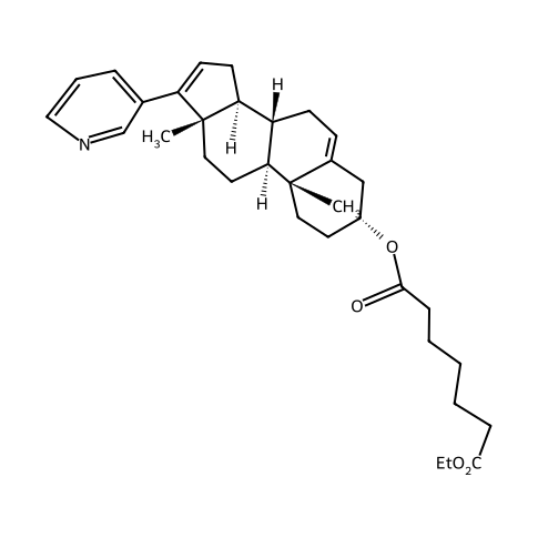 CCOC(=O)CCCCCC(=O)O[C@@H]1CC[C@@]2(C)C(=CC[C@@H]3[C@@H]2CC[C@]2(C)C(c4cccnc4)=CC[C@@H]32)C1